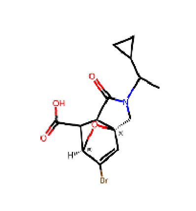 CC(C1CC1)N1C[C@]23C=C(Br)[C@H](O2)C(C(=O)O)C3C1=O